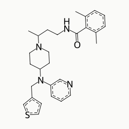 Cc1cccc(C)c1C(=O)NCCC(C)N1CCC(N(Cc2ccsc2)c2cccnc2)CC1